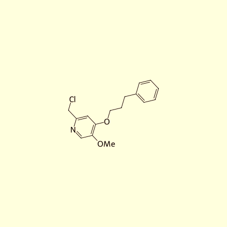 COc1cnc(CCl)cc1OCCCc1ccccc1